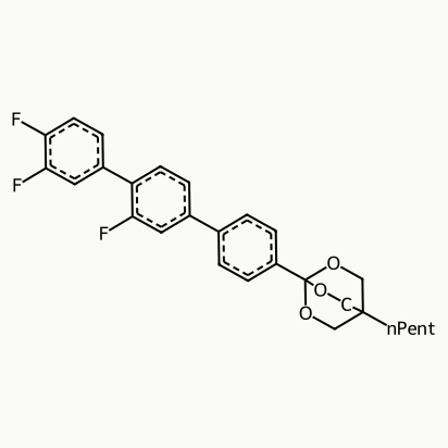 CCCCCC12COC(c3ccc(-c4ccc(-c5ccc(F)c(F)c5)c(F)c4)cc3)(OC1)OC2